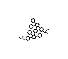 C=[N+](CC)Cc1ccc(-c2ccc(-c3ccccc3)c(-c3ccc(-c4c(-c5ccc(CN(C)CC)cc5)ccc(-c5ccccc5)c4-c4ccccc4)cc3)c2-c2ccccc2)cc1